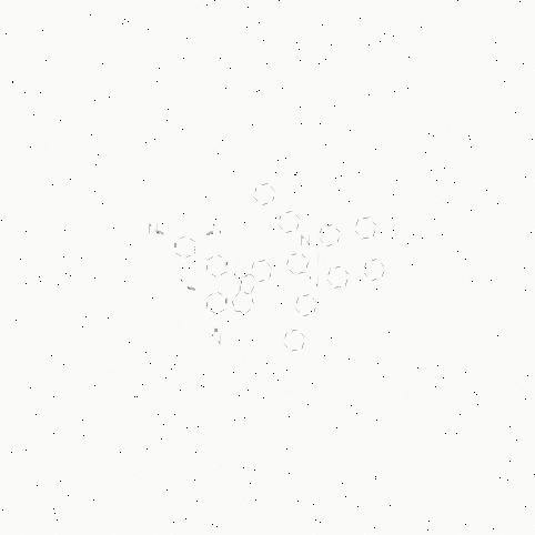 N#Cc1ccc(-c2ccc(-n3c4ccccc4c4cc(-c5cc6c7c(c5)N(c5ccc(-c8ccccc8)cc5)c5ccc(-c8ccccc8)cc5B7c5cc(-c7ccccc7)ccc5N6c5ccc(-c6ccccc6)cc5)ccc43)c(-c3ccc(C#N)cc3C#N)c2)c(C#N)c1